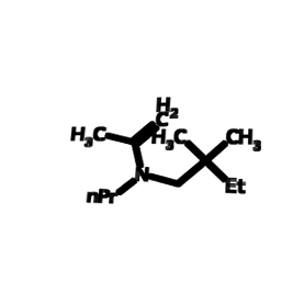 C=C(C)N(CCC)CC(C)(C)CC